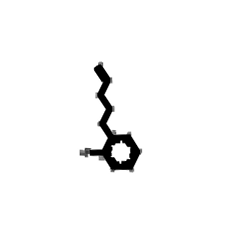 C=CCCCc1ccccc1F